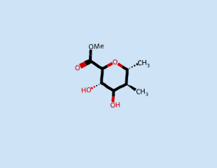 COC(=O)C1O[C@H](C)[C@@H](C)C(O)[C@@H]1O